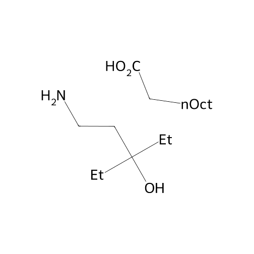 CCC(O)(CC)CCN.CCCCCCCCCC(=O)O